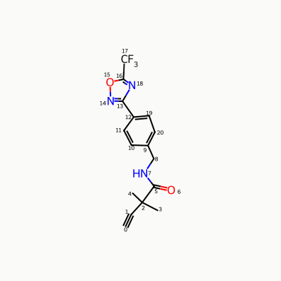 C#CC(C)(C)C(=O)NCc1ccc(-c2noc(C(F)(F)F)n2)cc1